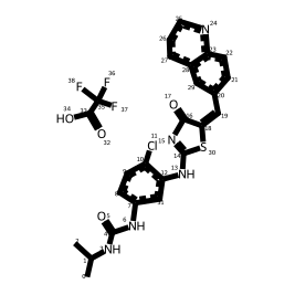 CC(C)NC(=O)Nc1ccc(Cl)c(NC2=NC(=O)C(=Cc3ccc4ncccc4c3)S2)c1.O=C(O)C(F)(F)F